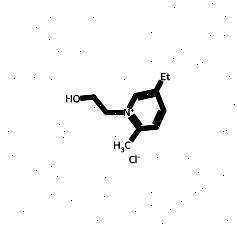 CCc1ccc(C)[n+](CCO)c1.[Cl-]